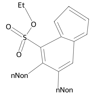 CCCCCCCCCc1cc2ccccc2c(S(=O)(=O)OCC)c1CCCCCCCCC